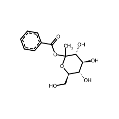 CC1(OC(=O)c2ccccc2)O[C@H](CO)[C@@H](O)[C@H](O)[C@H]1O